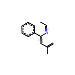 C=C(C)/C=C(\N=C/C)c1ccccc1